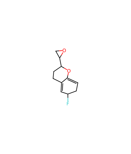 FC1C=C2CCC(C3CO3)OC2=CC1